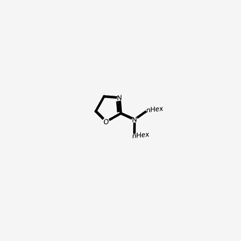 CCCCCCN(CCCCCC)C1=NCCO1